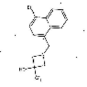 CCc1ccc(CN2CC(O)(C(F)(F)F)C2)c2ccccc12